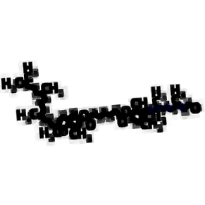 CC1=C(/C=C/C(C)=C/C=C/C(C)=C/C=O)C(C)(C)CCC1OC(=O)CCCCCC(=O)Oc1cc(C)c2c(c1)CCC(C)(CCCC(C)CCCC(C)CCCC(C)C)O2